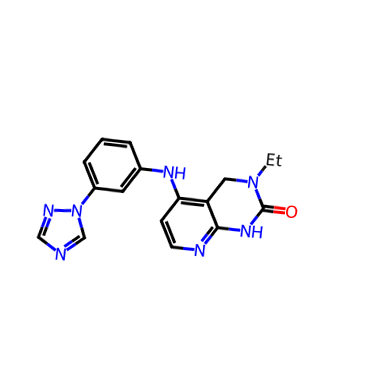 CCN1Cc2c(Nc3cccc(-n4cncn4)c3)ccnc2NC1=O